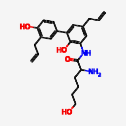 C=CCc1cc(NC(=O)C(N)CCCCO)c(O)c(-c2ccc(O)c(CC=C)c2)c1